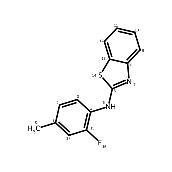 Cc1ccc(Nc2nc3ccccc3s2)c(F)c1